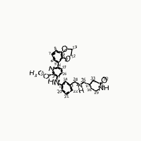 COc1nc(-c2cccc3c2OCCO3)ccc1Nc1cccc(CNCC2CCNC(=O)C2)c1